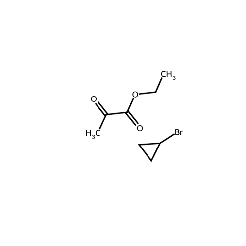 BrC1CC1.CCOC(=O)C(C)=O